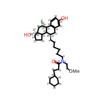 COCCN(CCCCCC[C@@H]1Cc2cc(O)ccc2C2C1C1CC[C@H](O)[C@@]1(C)C[C@@H]2F)C(=O)CCC1CCCCC1